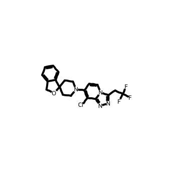 FC(F)(F)Cc1nnc2c(Cl)c(N3CCC4(CC3)OCc3ccccc34)ccn12